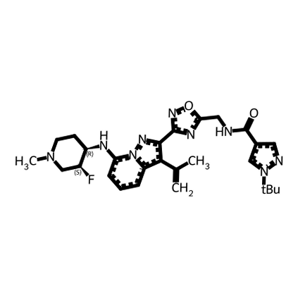 C=C(C)c1c(-c2noc(CNC(=O)c3cnn(C(C)(C)C)c3)n2)nn2c(N[C@@H]3CCN(C)C[C@@H]3F)cccc12